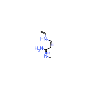 C=CN/C=C\C(N)=N/C